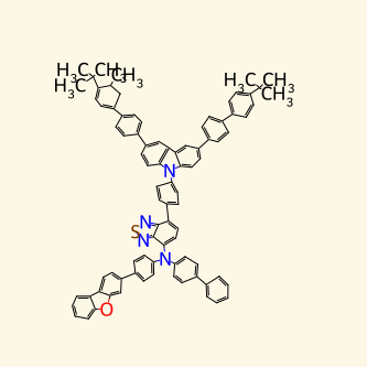 CC1CC(c2ccc(-c3ccc4c(c3)c3cc(-c5ccc(-c6ccc(C(C)(C)C)cc6)cc5)ccc3n4-c3ccc(-c4ccc(N(c5ccc(-c6ccccc6)cc5)c5ccc(-c6ccc7c(c6)oc6ccccc67)cc5)c5nsnc45)cc3)cc2)=CC=C1C(C)(C)C